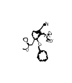 COC(=O)Cc1ccc(C#N)c([N+](=O)[O-])c1OCc1ccccc1